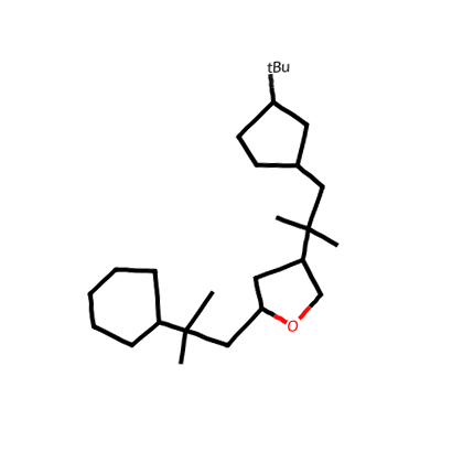 CC(C)(C)C1CCC(CC(C)(C)C2COC(CC(C)(C)C3CCCCC3)C2)C1